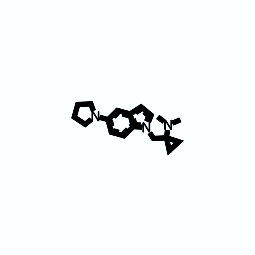 CN(C)C1(Cn2ccc3cc(N4CCCC4)ccc32)CC1